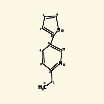 CCc1ccc(-c2cccs2)cn1